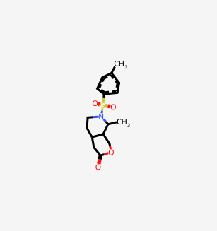 Cc1ccc(S(=O)(=O)N2CCC3CC(=O)OCC3C2C)cc1